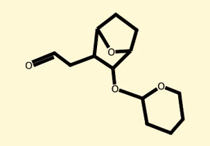 O=CCC1C2CCC(O2)C1OC1CCCCO1